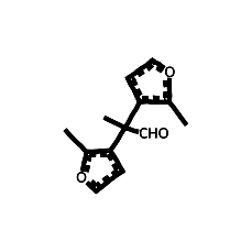 Cc1occc1C(C)(C=O)c1ccoc1C